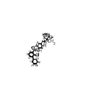 CC(CO)(NCc1ccc(NC(=O)c2cccc(-c3ccccc3)c2Cl)nc1)C(=O)O